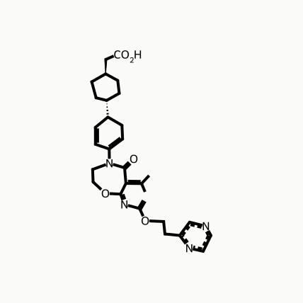 C=C(/N=C1/OCCN(C2=CCC([C@H]3CC[C@H](CC(=O)O)CC3)C=C2)C(=O)C1=C(C)C)OCCc1cnccn1